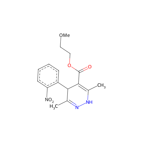 COCCOC(=O)C1=C(C)NN=C(C)C1c1ccccc1[N+](=O)[O-]